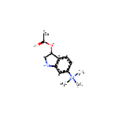 CC(C)(C)C(=O)OC1CNc2cc([N+](C)(C)C)ccc21